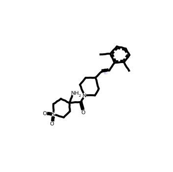 Cc1cccc(C)c1/C=C/C1CCN(C(=O)C2(N)CCS(=O)(=O)CC2)CC1